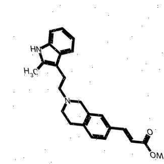 COC(=O)C=Cc1ccc2c(c1)CN(CCc1c(C)[nH]c3ccccc13)CC2